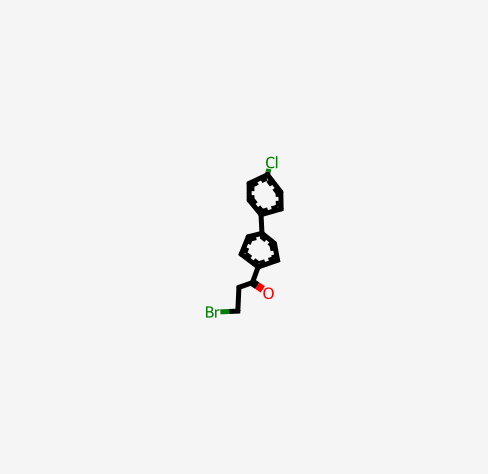 O=C(CCBr)c1ccc(-c2ccc(Cl)cc2)cc1